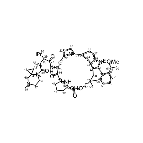 CCn1c(-c2cccnc2[C@H](C)OC)c2c3cc(ccc31)-c1csc(n1)C[C@H](NC(=O)[C@H](C(C)C)N(C)C(=O)N1CCN(C)CC13CC3)C(=O)N1CCC[C@@](O)(N1)C(=O)OCC(C)(C)C2